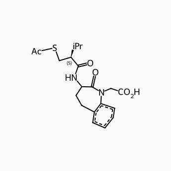 CC(=O)SC[C@H](C(=O)NC1CCc2ccccc2N(CC(=O)O)C1=O)C(C)C